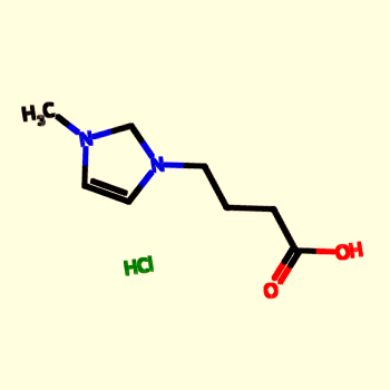 CN1C=CN(CCCC(=O)O)C1.Cl